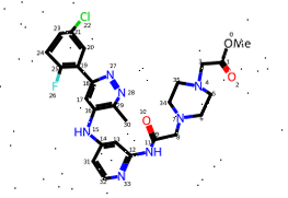 COC(=O)CN1CCN(CC(=O)Nc2cc(Nc3cc(-c4cc(Cl)ccc4F)nnc3C)ccn2)CC1